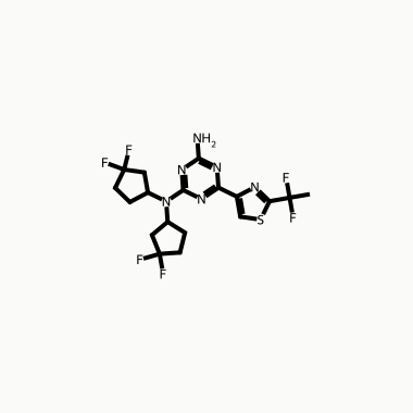 CC(F)(F)c1nc(-c2nc(N)nc(N(C3CCC(F)(F)C3)C3CCC(F)(F)C3)n2)cs1